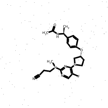 CC(=O)N[C@@H](C)c1ccc(O[C@@H]2CCN(c3nc(N(C)CCC#N)ncc3F)C2)cc1